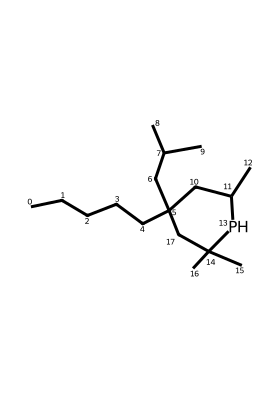 CCCCCC1(CC(C)C)CC(C)PC(C)(C)C1